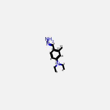 CCN(CC)c1ccc(C=NN)c(C)c1